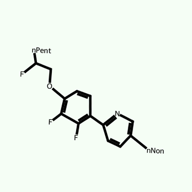 CCCCCCCCCc1ccc(-c2ccc(OCC(F)CCCCC)c(F)c2F)nc1